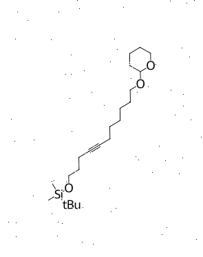 CC(C)(C)[Si](C)(C)OCCCC#CCCCCCCOC1CCCCO1